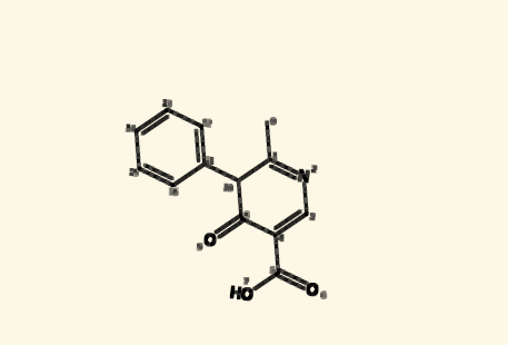 CC1=NC=C(C(=O)O)C(=O)C1c1ccccc1